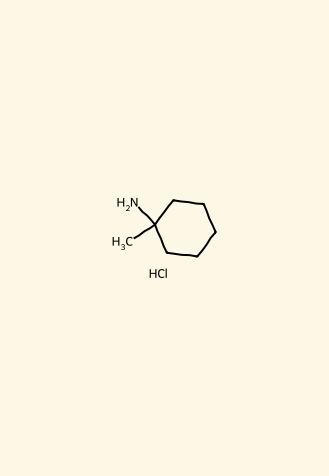 CC1(N)CCCCC1.Cl